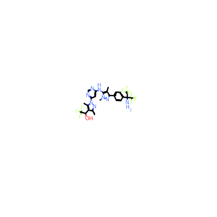 Cc1nn(-c2cc(Nc3c(C)c(-c4ccc(C(N)(C(F)(F)F)C(F)(F)F)cc4)nn3C)ncn2)c(C)c1C(O)C(F)(F)F